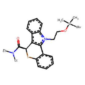 CCN(CC)C(=O)C1Sc2ccccc2-c2c1c1ccccc1n2CCO[Si](C)(C)C(C)(C)C